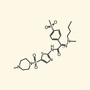 CCCCN(C)/N=C(/C(=O)Nc1ncc(S(=O)(=O)N2CCN(C)CC2)s1)c1ccc(S(C)(=O)=O)cc1